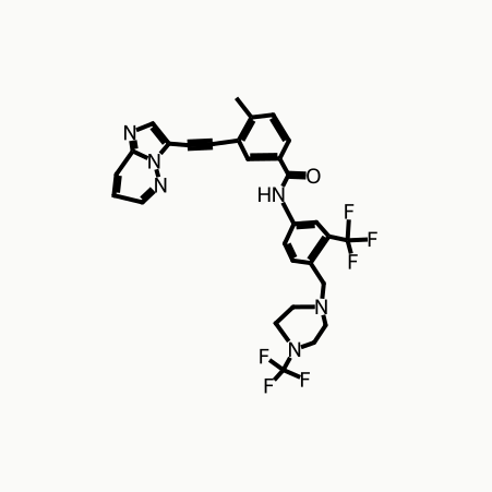 Cc1ccc(C(=O)Nc2ccc(CN3CCN(C(F)(F)F)CC3)c(C(F)(F)F)c2)cc1C#Cc1cnc2cccnn12